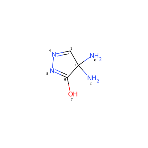 NC1(N)C=NN=C1O